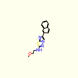 COCCNc1nn2cc(-c3ccc4ccccc4c3)nc2s1